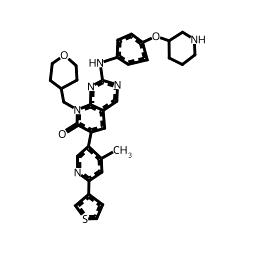 Cc1cc(-c2ccsc2)ncc1-c1cc2cnc(Nc3ccc(OC4CCCNC4)cc3)nc2n(CC2CCOCC2)c1=O